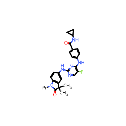 CC(C)N1C(=O)C(C)(C)c2cc(Nc3ncc(F)c(Nc4ccc(C(=O)NC5CC5)cc4)n3)ccc21